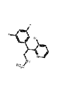 O=C(O)NCC(c1cc(F)cc(F)c1)c1ncccc1Br